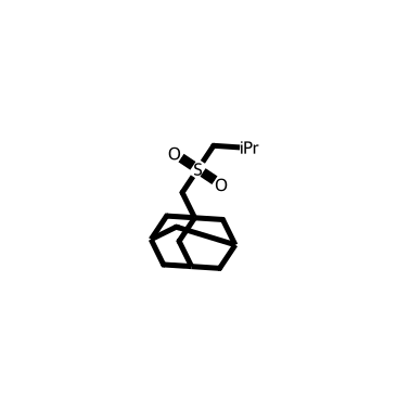 CC(C)CS(=O)(=O)CC12CC3CC(CC(C3)C1)C2